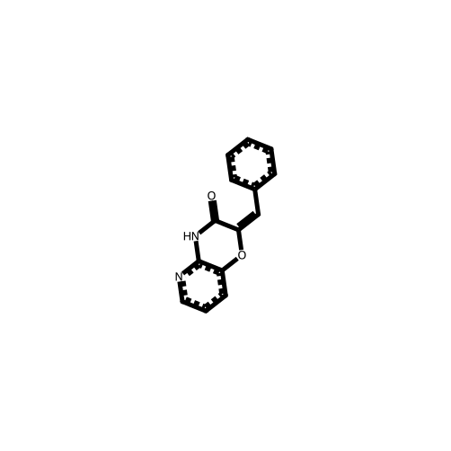 O=C1Nc2ncccc2O/C1=C/c1ccccc1